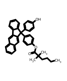 CCCCC(C)(C)C(=O)Oc1ccc(C2(c3ccc(O)cc3)c3ccccc3-c3cc4ccccc4cc32)cc1